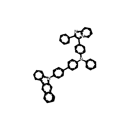 c1ccc2cc3c4ccccc4n(-c4ccc(-c5ccc(N(c6ccccc6)c6ccc(-c7c(-c8ccccc8)nc8ccccn78)cc6)cc5)cc4)c3cc2c#1